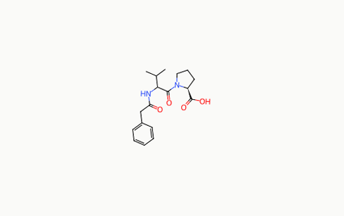 CC(C)C(NC(=O)Cc1ccccc1)C(=O)N1CCC[C@H]1C(=O)O